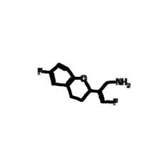 NC/C(=C\F)C1CCc2cc(F)ccc2O1